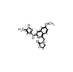 COc1ccc2c(CN3CCOC3=O)nc(Nc3cc(C)[nH]n3)cc2c1